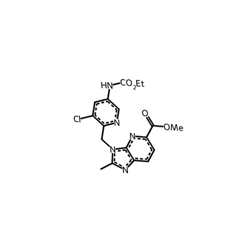 CCOC(=O)Nc1cnc(Cn2c(C)nc3ccc(C(=O)OC)nc32)c(Cl)c1